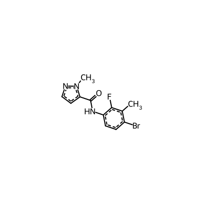 Cc1c(Br)ccc(NC(=O)c2ccnn2C)c1F